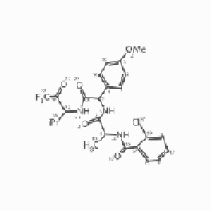 COc1ccc(C(NC(=O)C(C)NC(=O)c2ccccc2Cl)C(=O)NC(C(=O)C(F)(F)F)C(C)C)cc1